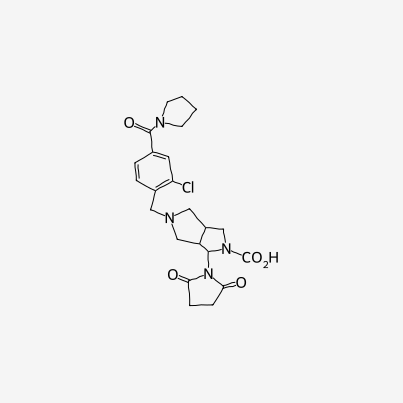 O=C(c1ccc(CN2CC3CN(C(=O)O)C(N4C(=O)CCC4=O)C3C2)c(Cl)c1)N1CCCC1